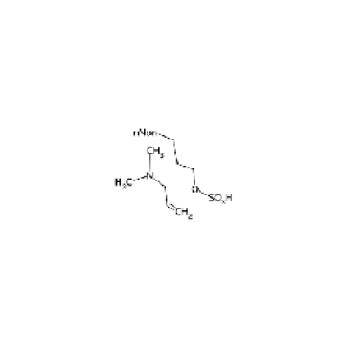 C=CCN(C)C.CCCCCCCCCCCCOS(=O)(=O)O